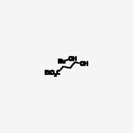 CCC(C)O.CCOC(=O)CCCO